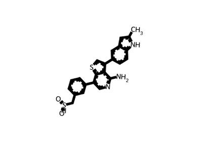 Cc1cc2cc(-c3csc4c(-c5cccc(C[SH](=O)=O)c5)cnc(N)c34)ccc2[nH]1